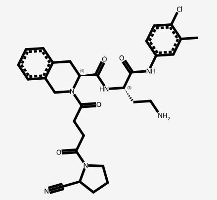 Cc1cc(NC(=O)[C@H](CCN)NC(=O)[C@@H]2Cc3ccccc3CN2C(=O)CCC(=O)N2CCCC2C#N)ccc1Cl